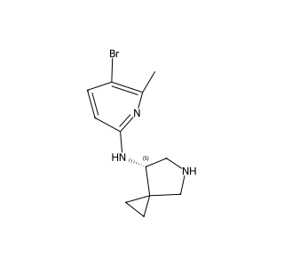 Cc1nc(N[C@@H]2CNCC23CC3)ccc1Br